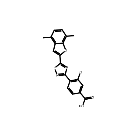 Cc1ccc(C)c2oc(-c3nc(-c4ccc(C(=O)O)cc4Cl)ns3)cc12